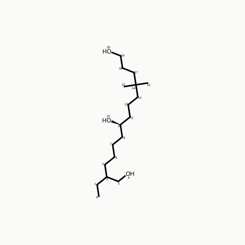 CCC(CO)CCCC[C@@H](O)CCCC(C)(C)CCCO